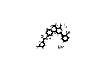 Nc1nc(-c2ccccc2O)cc(-c2cccc(NC(=O)C3CCC(=O)O3)c2)c1C(=O)[O-].[Na+]